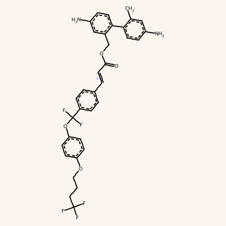 [CH2]c1cc(N)ccc1-c1ccc(N)cc1COC(=O)/C=C/c1ccc(C(F)(F)Oc2ccc(OCCCC(F)(F)F)cc2)cc1